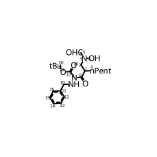 CCCCCC(CN(O)C=O)C(=O)N(NCc1ccccc1)C(=O)OC(C)(C)C